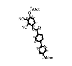 CCCCCCCCCc1cnc(-c2ccc(C(=O)Oc3ccc(OCCCCCCCC)c(C#N)c3C#N)cc2)nc1